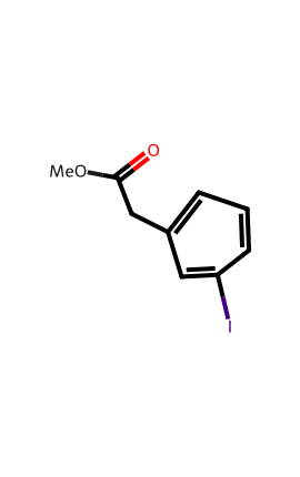 COC(=O)Cc1cccc(I)c1